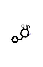 O=C1/C=C\CC(Cc2ccccc2)CCC1O